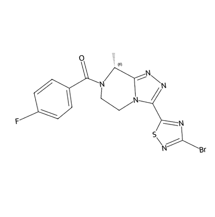 C[C@@H]1c2nnc(-c3nc(Br)ns3)n2CCN1C(=O)c1ccc(F)cc1